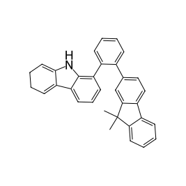 CC1(C)c2ccccc2-c2ccc(-c3ccccc3-c3cccc4c5c([nH]c34)=CCCC=5)cc21